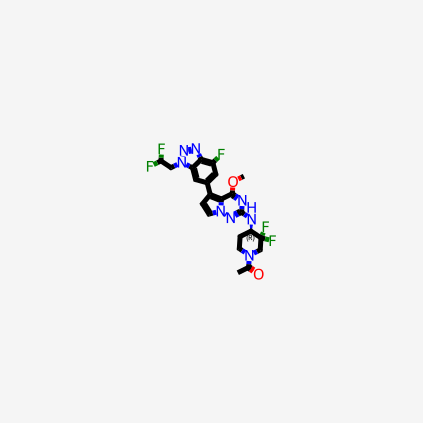 COc1nc(N[C@@H]2CCN(C(C)=O)CC2(F)F)nn2ccc(-c3cc(F)c4nnn(CC(F)F)c4c3)c12